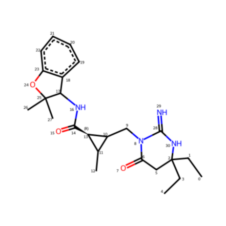 CCC1(CC)CC(=O)N(CC2C(C)[C@H]2C(=O)NC2c3ccccc3OC2(C)C)C(=N)N1